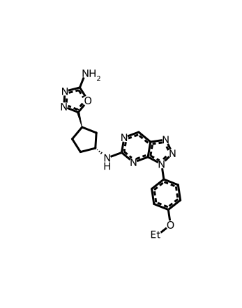 CCOc1ccc(-n2nnc3cnc(N[C@@H]4CC[C@@H](c5nnc(N)o5)C4)nc32)cc1